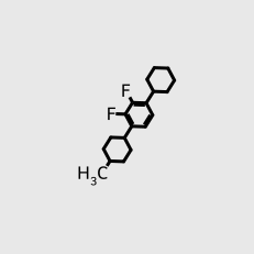 CC1CCC(c2ccc(C3CCCCC3)c(F)c2F)CC1